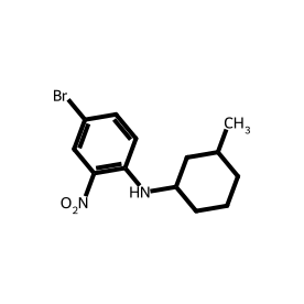 CC1CCCC(Nc2ccc(Br)cc2[N+](=O)[O-])C1